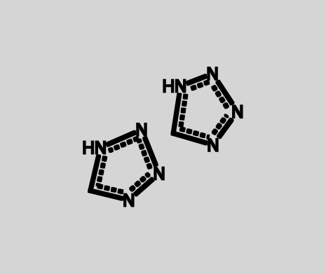 c1nnn[nH]1.c1nnn[nH]1